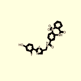 O=C(NCc1cnc(-c2ccc(O)cc2F)s1)c1ccc2c(c1)NC(=O)c1ccccc1S2(=O)=O